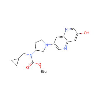 CC(C)(C)OC(=O)N(CC1CC1)C1CCN(c2cnc3cc(O)cnc3c2)C1